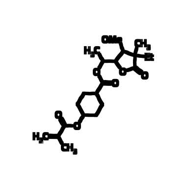 C=C(C)C(=O)OC1CCC(C(=O)OC(C)C2OC(=O)C(C)(CC)C2OC)CC1